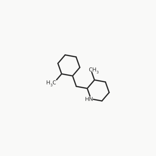 CC1CCCCC1CC1NCCCC1C